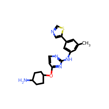 Cc1cc(Nc2nccc(OC3CCC(N)CC3)n2)cc(-c2cn[c]s2)c1